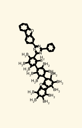 Bc1c(B)c(-c2nc(-c3ccccc3)nc(-c3ccc4c(c3)oc3ccccc34)n2)c(B)c(-c2c(B)c(B)c(-c3c(B)c(B)c(B)c4c3oc3c(B)c(B)c(B)c(B)c34)c(B)c2B)c1B